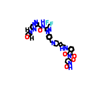 O=C1CCC(N2C(=O)c3cccc(NCC4CC5(CCN(Cc6ccc(-n7cc(NC(=O)c8cnn9ccc(N%10C[C@H]%11C[C@@H]%10CO%11)nc89)c(C(F)F)n7)cc6)CC5)C4)c3C2=O)C(=O)N1